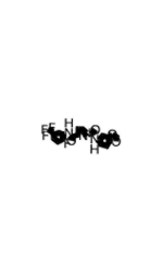 O=C(Nc1cc(C(F)(F)F)ccc1F)c1ccn(C(=O)Nc2ccc3c(c2)OCO3)n1